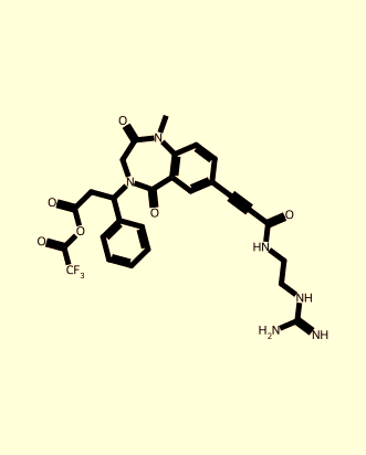 CN1C(=O)CN(C(CC(=O)OC(=O)C(F)(F)F)c2ccccc2)C(=O)c2cc(C#CC(=O)NCCNC(=N)N)ccc21